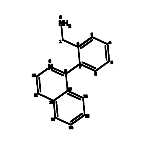 NCc1ccccc1-c1nccc2ccccc12